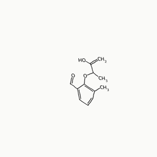 C=C(O)C(C)Oc1c(C)cccc1C=O